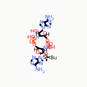 CC(C)(C)[Si](C)(C)O[C@@H]1[C@@H]2NP(=O)(O)OC[C@H]3O[C@@H](n4cnc5c(N)ncnc54)[C@H](O)[C@@H]3NP(=O)(O)OC[C@H]2O[C@H]1n1cnc2c(N)ncnc21